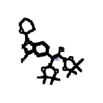 CC/C(B1OC(C)(C)C(C)(C)O1)=C(/B1OC(C)(C)C(C)(C)O1)c1ccc2c(c1)c(F)nn2C1CCCCO1